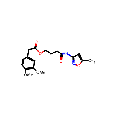 COc1ccc(CC(=O)OCCCC(=O)Nc2cc(C)on2)cc1OC